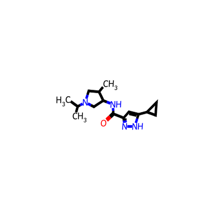 CC1CN(C(C)C)CC1NC(=O)c1cc(C2CC2)[nH]n1